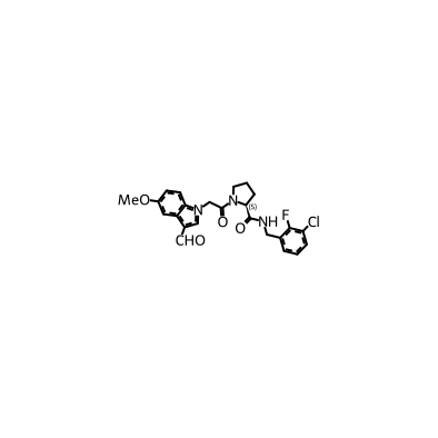 COc1ccc2c(c1)c(C=O)cn2CC(=O)N1CCC[C@H]1C(=O)NCc1cccc(Cl)c1F